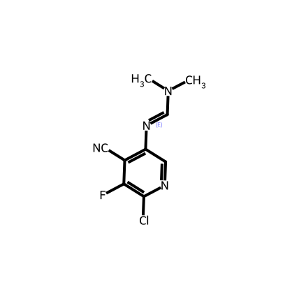 CN(C)/C=N/c1cnc(Cl)c(F)c1C#N